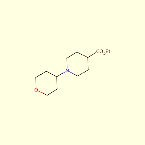 CCOC(=O)C1CCN(C2CCOCC2)CC1